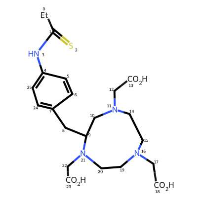 CCC(=S)Nc1ccc(CC2CN(CC(=O)O)CCN(CC(=O)O)CCN2CC(=O)O)cc1